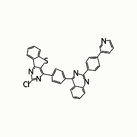 Clc1nc(-c2ccc(-c3nc(-c4ccc(-c5cccnc5)cc4)nc4ccccc34)cc2)c2sc3ccccc3c2n1